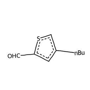 CCCCc1csc(C=O)c1